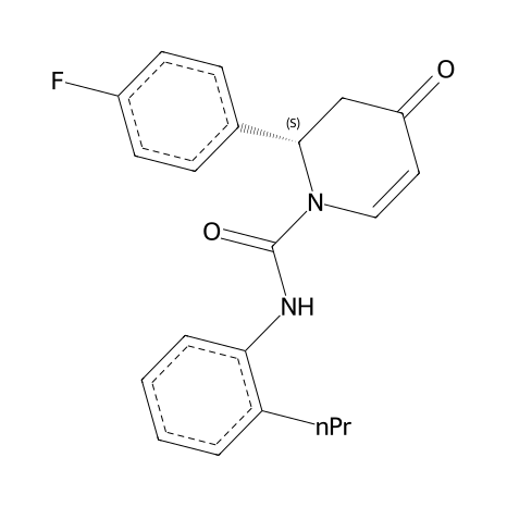 CCCc1ccccc1NC(=O)N1C=CC(=O)C[C@H]1c1ccc(F)cc1